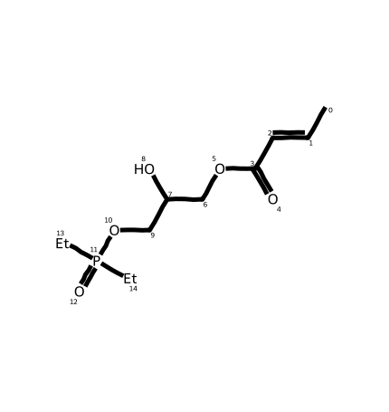 CC=CC(=O)OCC(O)COP(=O)(CC)CC